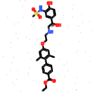 CCOC(=O)c1ccc(-c2c(C)cc(OCCNC[C@H](O)c3ccc(O)c(NS(C)(=O)=O)c3)cc2C)cc1